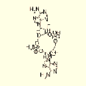 BP1(=O)OC[C@H]2O[C@@H](n3cnc4c(N)ncnc43)[C@H](F)[C@@H]2OP(=O)(O)OC[C@H]2O[C@@H](n3cnc4c(N)ncnc43)[C@H](O1)[C@H]2F